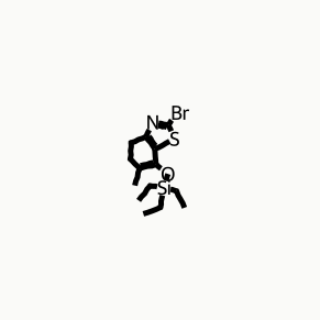 CC[Si](CC)(CC)OC1=C(C)CCc2nc(Br)sc21